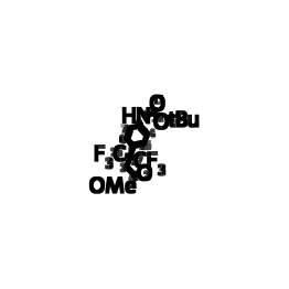 COC(=O)CC(c1ccc(NC(=O)OC(C)(C)C)cc1)(C(F)(F)F)C(F)(F)F